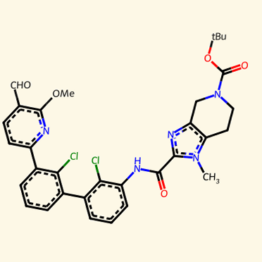 COc1nc(-c2cccc(-c3cccc(NC(=O)c4nc5c(n4C)CCN(C(=O)OC(C)(C)C)C5)c3Cl)c2Cl)ccc1C=O